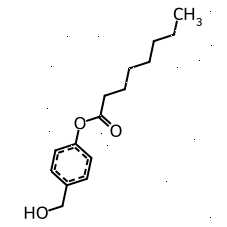 CCCCCCCC(=O)Oc1ccc(CO)cc1